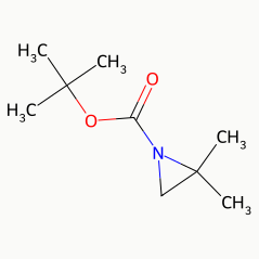 CC(C)(C)OC(=O)N1CC1(C)C